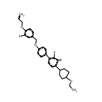 C=CCOc1ccc(COc2ccc(-c3ccc(C4CCC(OCC)CC4)c(F)c3F)cc2)cc1F